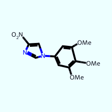 COc1cc(-n2cnc([N+](=O)[O-])c2)cc(OC)c1OC